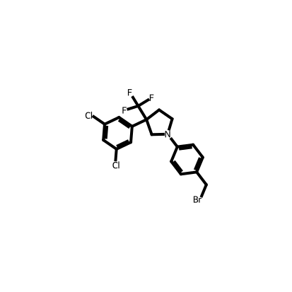 FC(F)(F)C1(c2cc(Cl)cc(Cl)c2)CCN(c2ccc(CBr)cc2)C1